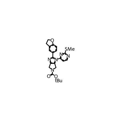 CSc1nccc(-n2c(-c3ccc4c(c3)CCO4)nc3c2CN(C(=O)OC(C)(C)C)C3)n1